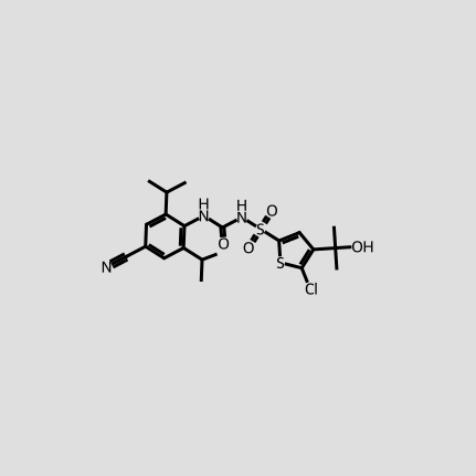 CC(C)c1cc(C#N)cc(C(C)C)c1NC(=O)NS(=O)(=O)c1cc(C(C)(C)O)c(Cl)s1